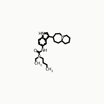 CCCCN(CC)C(=O)Nc1ccc2[nH]cc(C3CCC4CCCCN4CC3)c2c1